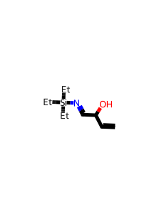 C=CC(O)C=N[Si](CC)(CC)CC